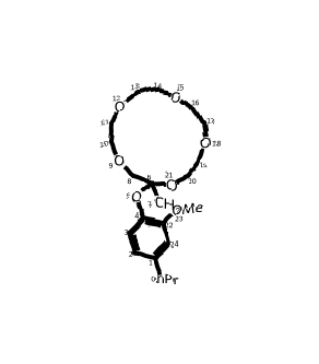 CCCc1ccc(OC2(C)COCCOCCOCCOCCO2)c(OC)c1